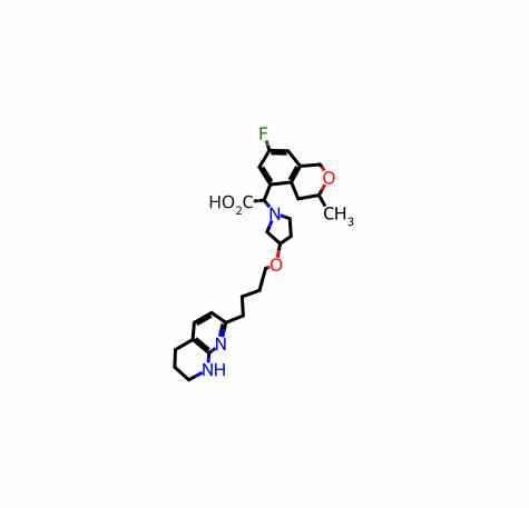 CC1Cc2c(cc(F)cc2C(C(=O)O)N2CCC(OCCCCc3ccc4c(n3)NCCC4)C2)CO1